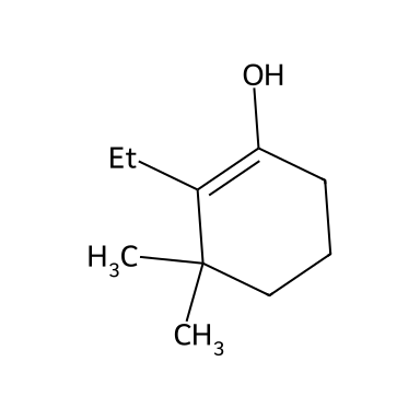 CCC1=C(O)CCCC1(C)C